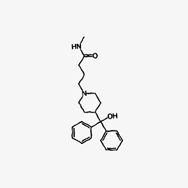 CNC(=O)CCCN1CCC(C(O)(c2ccccc2)c2ccccc2)CC1